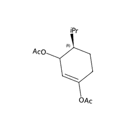 CC(=O)OC1=CC(OC(C)=O)[C@@H](C(C)C)CC1